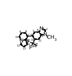 Cn1cnc2cc(-c3cccn4cccc34)c(C(F)(F)F)cc21